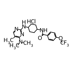 Cc1cnc(NC2CCC(NC(=O)c3ccc(OC(F)(F)F)cc3)CC2)nc1N(C)C.Cl